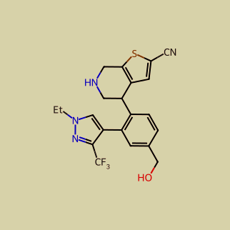 CCn1cc(-c2cc(CO)ccc2C2CNCc3sc(C#N)cc32)c(C(F)(F)F)n1